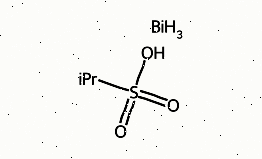 CC(C)S(=O)(=O)O.[BiH3]